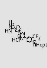 CCCCCCCOc1ccc(-c2noc([C@@H]3CCCN(C(=N)N)C3)n2)cc1C(F)(F)F.Cl